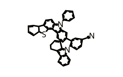 N#Cc1ccc(-n2c3c(c4ccccc42)CCC=C3)c(-c2ccc3c4c5c(ccc4n(-c4ccccc4)c3c2)C2C=CC=CC2S5)c1